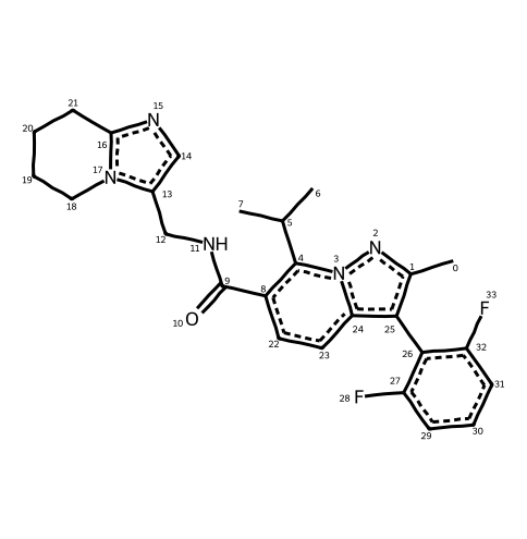 Cc1nn2c(C(C)C)c(C(=O)NCc3cnc4n3CCCC4)ccc2c1-c1c(F)cccc1F